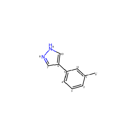 [CH2]c1cccc(-c2cn[nH]c2)c1